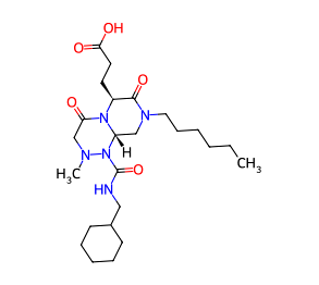 CCCCCCN1C[C@H]2N(C(=O)CN(C)N2C(=O)NCC2CCCCC2)[C@@H](CCC(=O)O)C1=O